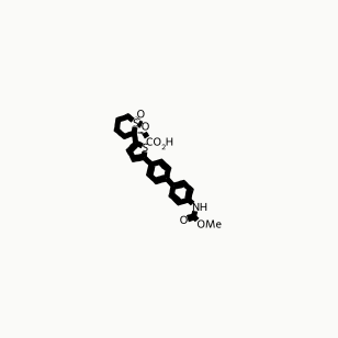 COC(=O)Nc1ccc(-c2ccc(-c3ccc([C@@]4(CC(=O)O)CCCCS4(=O)=O)s3)cc2)cc1